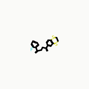 C=C(CCC(=C)c1ccccc1F)c1ccc2c(c1)SCCS2